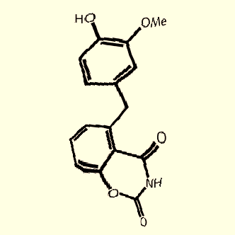 COc1cc(Cc2cccc3oc(=O)[nH]c(=O)c23)ccc1O